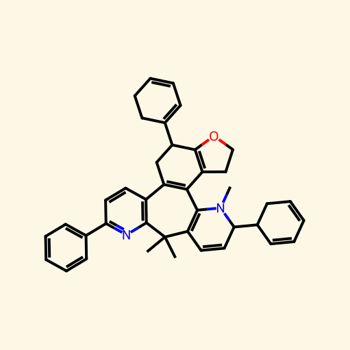 CN1C2=C(C=CC1C1C=CC=CC1)C(C)(C)c1nc(-c3ccccc3)ccc1C1=C2C2=C(OCC2)C(C2=CC=CCC2)C1